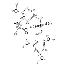 COc1cc(OC)c(/C=C/S(=O)(=O)Cc2ccc(OC)c(NC(C)=O)c2)c(OC)c1